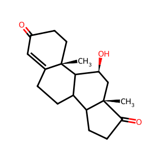 C[C@]12CCC(=O)C=C1CCC1C2[C@@H](O)C[C@]2(C)C(=O)CCC12